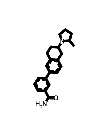 CC1CCCN1C1CCc2cc(-c3cccc(C(N)=O)c3)ccc2C1